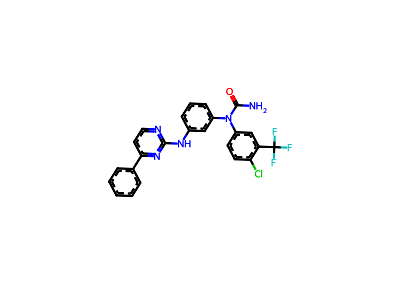 NC(=O)N(c1cccc(Nc2nccc(-c3ccccc3)n2)c1)c1ccc(Cl)c(C(F)(F)F)c1